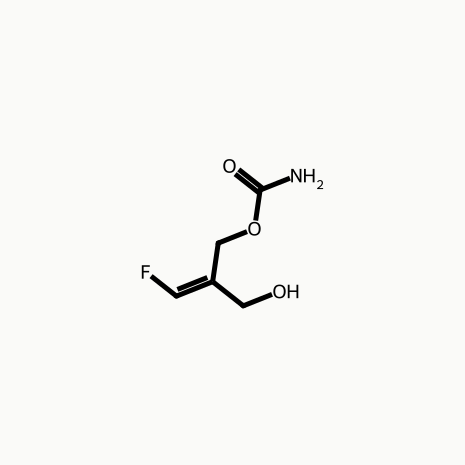 NC(=O)OC/C(=C\F)CO